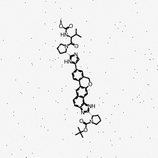 COC(=O)N[C@H](C(=O)N1CCC[C@H]1c1ncc(-c2ccc3c(c2)COc2cc4c(ccc5nc([C@@H]6CCCN6C(=O)OC(C)(C)C)[nH]c54)cc2-3)[nH]1)C(C)C